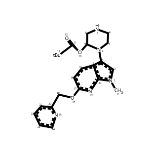 Cn1cc(N2CCNCC2OC(=O)C(C)(C)C)c2ccc(OCc3ccccn3)nc21